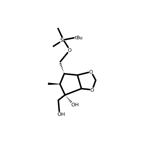 C[C@H]1[C@H](CO[Si](C)(C)C(C)(C)C)C2OCOC2[C@@]1(O)CO